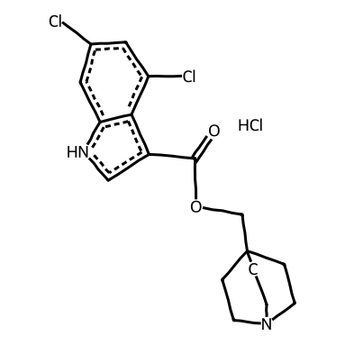 Cl.O=C(OCC12CCN(CC1)CC2)c1c[nH]c2cc(Cl)cc(Cl)c12